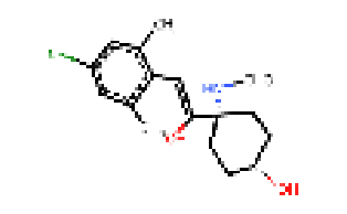 Cc1cc(Cl)cc(C)c1/C=C(\O)[C@]1(NC=O)CC[C@@H](O)CC1